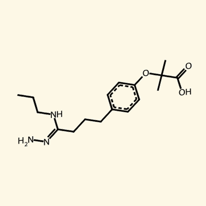 CCCN/C(CCCc1ccc(OC(C)(C)C(=O)O)cc1)=N\N